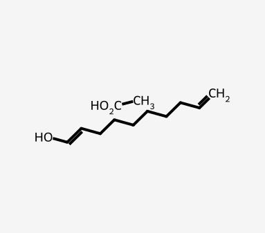 C=CCCCCCCC=CO.CC(=O)O